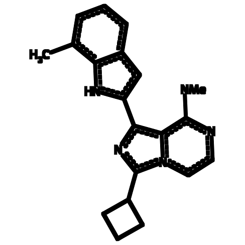 CNc1nccn2c(C3CCC3)nc(-c3cc4cccc(C)c4[nH]3)c12